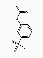 CC(=O)Oc1cccc(S(=O)(=O)Cl)c1